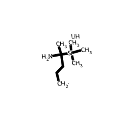 [CH2]CCC(C)(N)[Si](C)(C)C.[LiH]